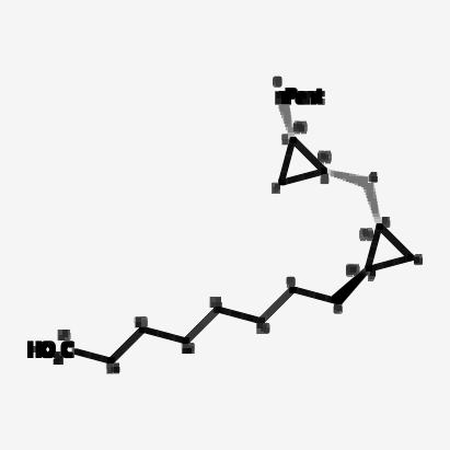 CCCCC[C@H]1C[C@H]1C[C@@H]1C[C@H]1CCCCCCCC(=O)O